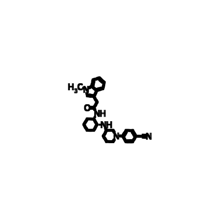 Cn1cc(CC(=O)N[C@@H]2CCCC[C@H]2NC2CCCN(c3ccc(C#N)cc3)C2)c2ccccc21